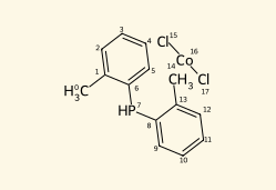 Cc1ccccc1Pc1ccccc1C.[Cl][Co][Cl]